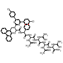 N=C(N)NC(NC(=O)C(NC(=N)N)NC(=O)C(NC(=N)N)NC(=O)C(NC(=N)N)NC(=O)C(NC(=O)C(O)N(Cc1cc2ccccc2c2ccccc12)c1nc(-c2ccc(Cl)cc2)cc(-c2ccc(Cl)cc2)n1)c1ccccc1)C(N)=O